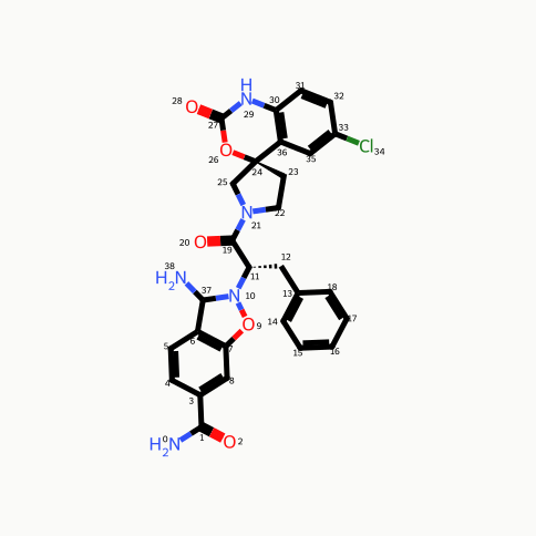 NC(=O)c1ccc2c(c1)ON([C@@H](Cc1ccccc1)C(=O)N1CC[C@@]3(C1)OC(=O)Nc1ccc(Cl)cc13)C2N